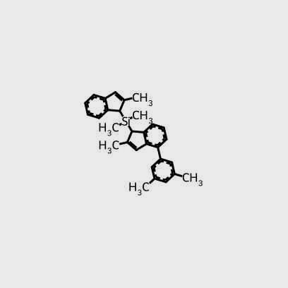 CC1=Cc2ccccc2C1[Si](C)(C)C1C(C)=Cc2c(-c3cc(C)cc(C)c3)cccc21